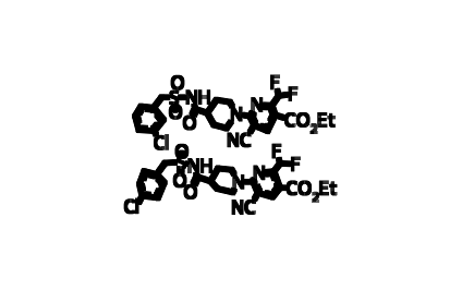 CCOC(=O)c1cc(C#N)c(N2CCC(C(=O)NS(=O)(=O)Cc3ccc(Cl)cc3)CC2)nc1C(F)F.CCOC(=O)c1cc(C#N)c(N2CCC(C(=O)NS(=O)(=O)Cc3cccc(Cl)c3)CC2)nc1C(F)F